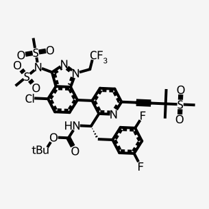 CC(C)(C)OC(=O)N[C@@H](Cc1cc(F)cc(F)c1)c1nc(C#CC(C)(C)S(C)(=O)=O)ccc1-c1ccc(Cl)c2c(N(S(C)(=O)=O)S(C)(=O)=O)nn(CC(F)(F)F)c12